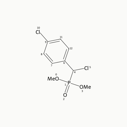 COP(=O)(OC)C(Cl)c1ccc(Cl)cc1